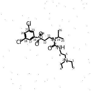 CCN(CC)CCNC(=O)N(CCS(=O)(=O)c1cc(Cl)cc(Cl)c1)C(C)C